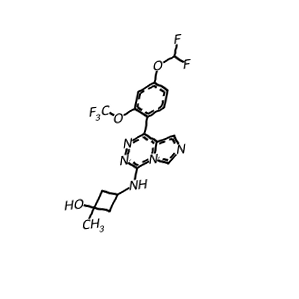 CC1(O)CC(Nc2nnc(-c3ccc(OC(F)F)cc3OC(F)(F)F)c3cncn23)C1